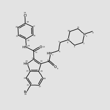 CN1CCN(CCNC(=O)c2c(C(=O)Nc3ccc(Cl)cc3)[nH]c3cc(Br)ccc23)CC1